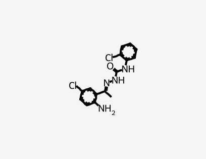 C/C(=N\NC(=O)Nc1ccccc1Cl)c1cc(Cl)ccc1N